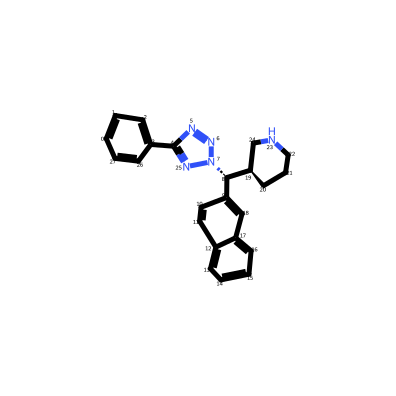 c1ccc(-c2nnn([C@@H](c3ccc4ccccc4c3)[C@@H]3CCCNC3)n2)cc1